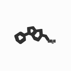 O=C(O)Cc1ccc2c(c1)CC=C2c1ccccc1